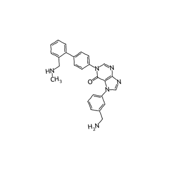 CNCc1ccccc1-c1ccc(-n2cnc3ncn(-c4cccc(CN)c4)c3c2=O)cc1